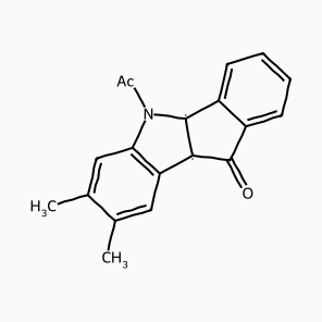 CC(=O)N1[C]2[C](C(=O)c3ccccc32)c2cc(C)c(C)cc21